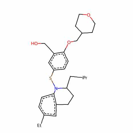 CCc1ccc2c(c1)CCC(CC(C)C)N2Sc1ccc(OCC2CCOCC2)c(CO)c1